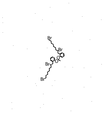 CC(Oc1ccccc1CC(Br)CCCCCCCBr)Oc1ccccc1CC(Br)CCCCCCCBr